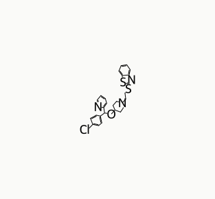 Clc1ccc(C(OC2CCN(CCSc3nc4ccccc4s3)CC2)c2ccccn2)cc1